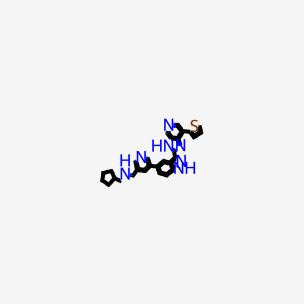 c1csc(-c2cncc3[nH]c(-c4n[nH]c5ccc(-c6cncc(CNCC7CCCC7)c6)cc45)nc23)c1